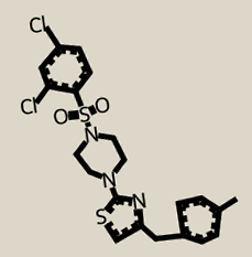 Cc1ccc(Cc2csc(N3CCN(S(=O)(=O)c4ccc(Cl)cc4Cl)CC3)n2)cc1